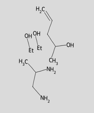 C=CCC(C)O.CC(N)CN.CCO.CCO